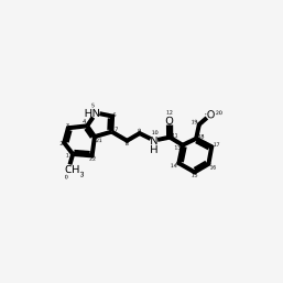 Cc1ccc2[nH]cc(CCNC(=O)c3ccccc3C[O])c2c1